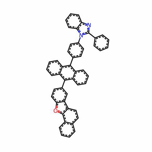 c1ccc(-c2nc3ccccc3n2-c2ccc(-c3c4ccccc4c(-c4ccc5oc6c7ccccc7ccc6c5c4)c4ccccc34)cc2)cc1